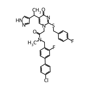 CC(c1cn[nH]c1)c1cn(CC(=O)N(C)Cc2ccc(-c3ccc(Cl)cc3)cc2F)c(SCc2ccc(F)cc2)nc1=O